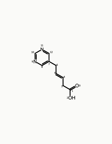 O=C(O)CC=CCc1cncnc1